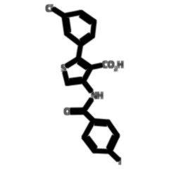 O=C(Nc1csc(-c2cccc(Cl)c2)c1C(=O)O)c1ccc(I)cc1